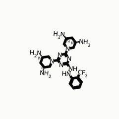 N[C@@H]1C[C@H](N)CN(c2nc(NNc3ccccc3C(F)(F)F)nc(N3C[C@H](N)C[C@H](N)C3)n2)C1